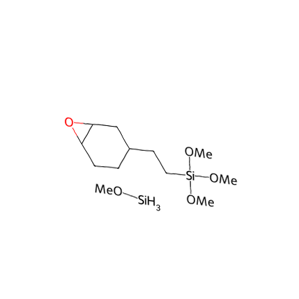 CO[SiH3].CO[Si](CCC1CCC2OC2C1)(OC)OC